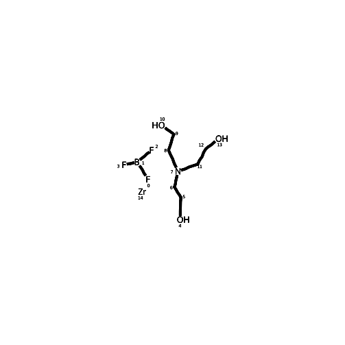 FB(F)F.OCCN(CCO)CCO.[Zr]